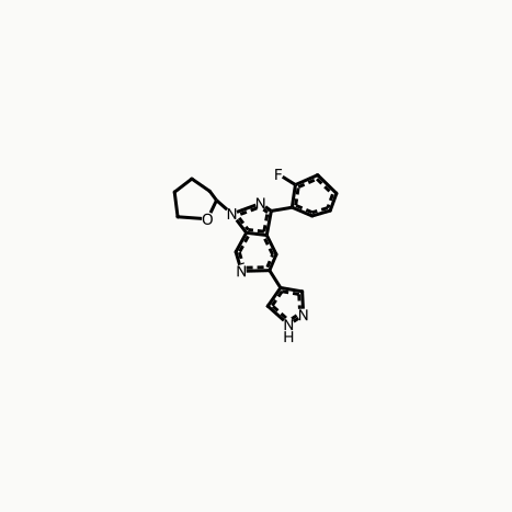 Fc1ccccc1-c1nn(C2CCCCO2)c2cnc(-c3cn[nH]c3)cc12